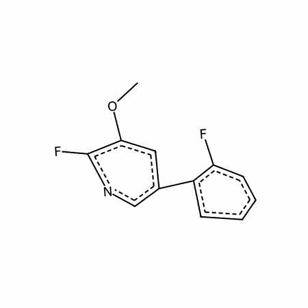 COc1cc(-c2ccccc2F)cnc1F